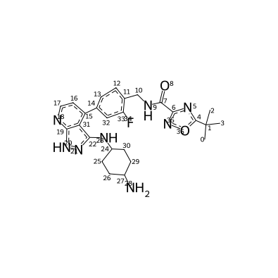 CC(C)(C)c1nc(C(=O)NCc2ccc(-c3ccnc4[nH]nc(NC5CCC(N)CC5)c34)cc2F)no1